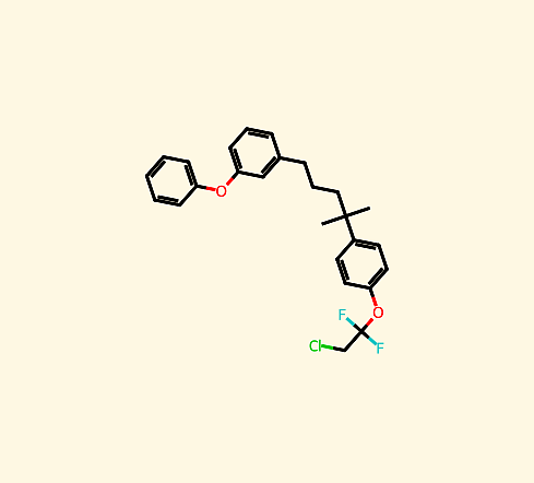 CC(C)(CCCc1cccc(Oc2ccccc2)c1)c1ccc(OC(F)(F)CCl)cc1